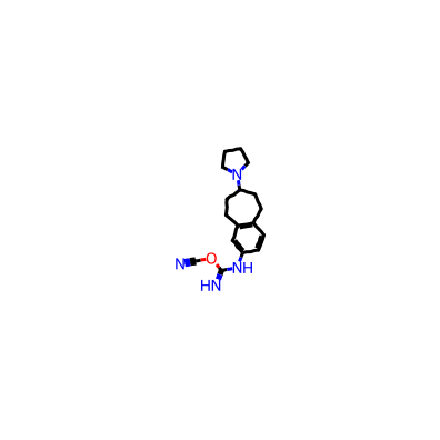 N#COC(=N)Nc1ccc2c(c1)CCC(N1CCCC1)CC2